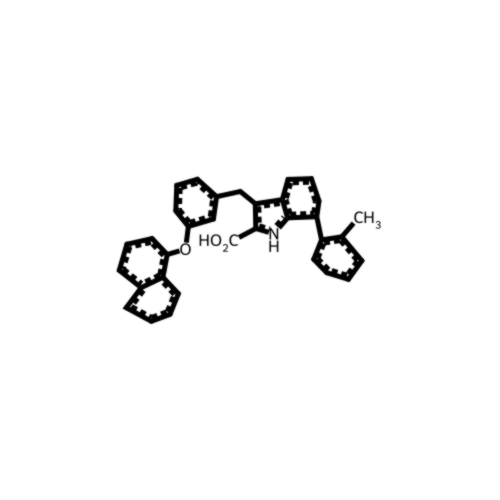 Cc1ccccc1-c1cccc2c(Cc3cccc(Oc4cccc5ccccc45)c3)c(C(=O)O)[nH]c12